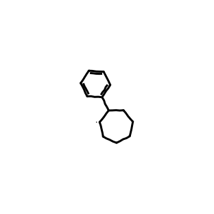 [CH]1CCCCCC1c1ccccc1